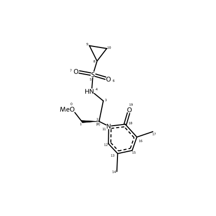 COC[C@@H](CNS(=O)(=O)C1CC1)n1cc(C)cc(C)c1=O